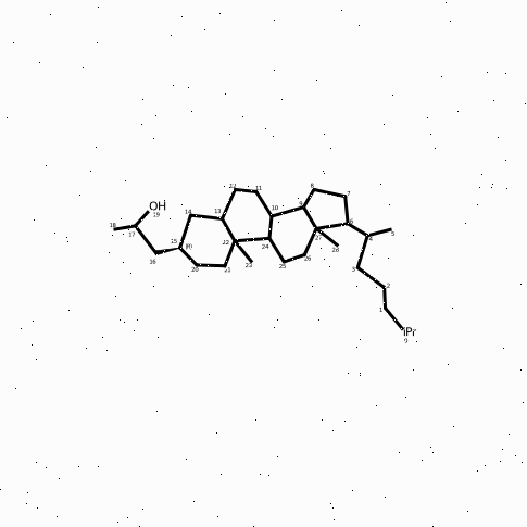 CC(C)CCCC(C)C1CCC2C3CCC4C[C@H](CC(C)O)CCC4(C)C3CCC12C